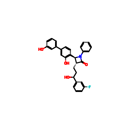 O=C1[C@H](CC[C@H](O)c2cccc(F)c2)[C@@H](c2ccc(-c3cccc(O)c3)cc2O)N1c1ccccc1